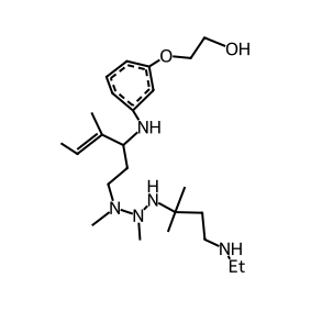 C/C=C(\C)C(CCN(C)N(C)NC(C)(C)CCNCC)Nc1cccc(OCCO)c1